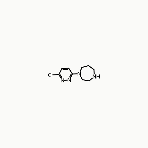 Clc1ccc(N2CCCNCC2)nn1